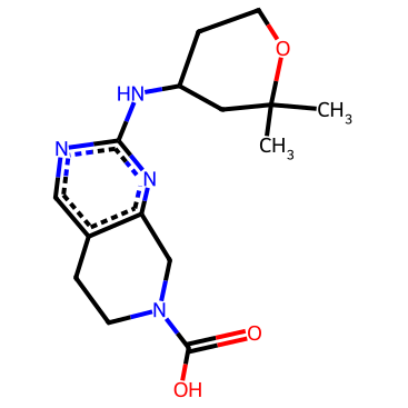 CC1(C)CC(Nc2ncc3c(n2)CN(C(=O)O)CC3)CCO1